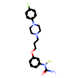 NC(=O)N(S)c1cccc(OCCCN2CCN(c3ccc(F)cc3)CC2)c1